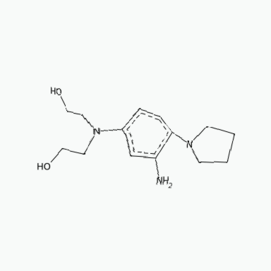 Nc1cc(N(CCO)CCO)ccc1N1CCCC1